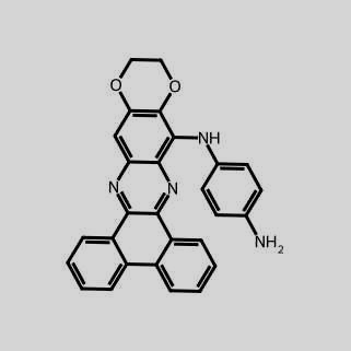 Nc1ccc(Nc2c3c(cc4nc5c6ccccc6c6ccccc6c5nc24)OCCO3)cc1